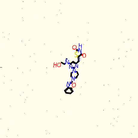 CN(CCO)c1cc(/C=C2\SC(=O)NC2=O)nc(N2CCCN(c3nc4ccccc4o3)CC2)n1